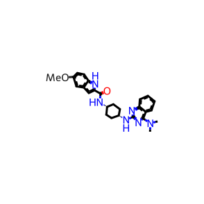 COc1ccc2[nH]c(C(=O)N[C@H]3CC[C@@H](Nc4nc(N(C)C)c5ccccc5n4)CC3)cc2c1